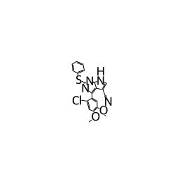 COc1cc(Cl)c(-c2nc(Sc3ccccc3)nc3[nH]cc(C#N)c23)cc1OC